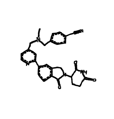 CN(Cc1ccc(C#N)cc1)Cc1ccnc(-c2ccc3c(c2)CN(C2CCC(=O)NC2=O)C3=O)c1